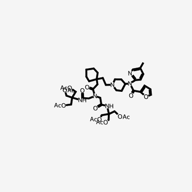 CC(=O)OCC(COC(C)=O)(COC(C)=O)NC(=O)CN(CC(=O)NC(COC(C)=O)(COC(C)=O)COC(C)=O)C(=O)CC1(CCN2CCC(N(C(=O)c3ccco3)c3ccc(C)cn3)CC2)CCCCC1